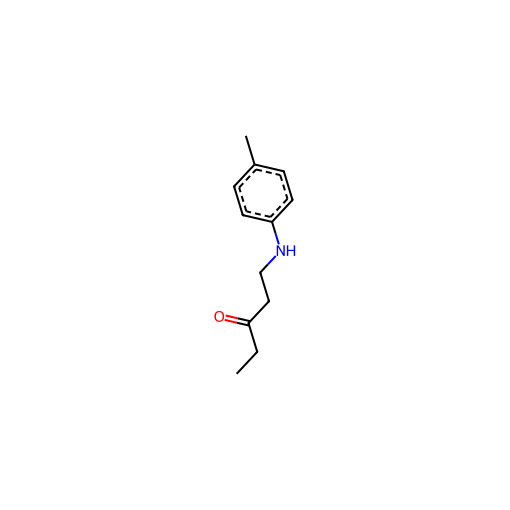 CCC(=O)CCNc1ccc(C)cc1